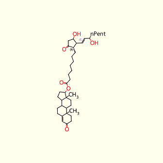 CCCCCC(O)/C=C/C1C(O)CC(=O)[C@@H]1CCCCCCCC(=O)OC1CCC2C3CCC4=CC(=O)CCC4(C)C3CCC12C